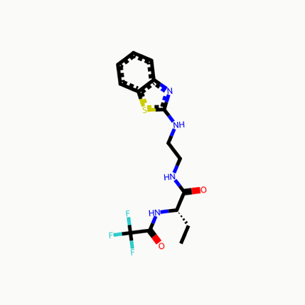 CC[C@H](NC(=O)C(F)(F)F)C(=O)NCCNc1nc2ccccc2s1